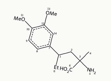 CCC(CC(C)(N)C(=O)O)c1ccc(OC)c(OC)c1